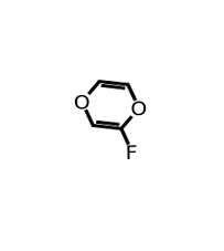 FC1=COC=CO1